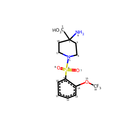 NC1(C(=O)O)CCN(S(=O)(=O)c2ccccc2OC(F)(F)F)CC1